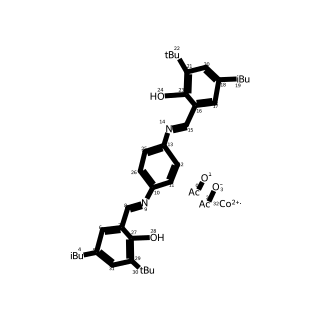 CC(=O)[O-].CC(=O)[O-].CCC(C)c1cc(C=Nc2ccc(N=Cc3cc(C(C)CC)cc(C(C)(C)C)c3O)cc2)c(O)c(C(C)(C)C)c1.[Co+2]